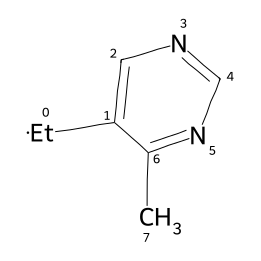 C[CH]c1cncnc1C